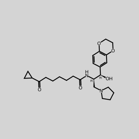 O=C(CCCCCC(=O)C1CC1)N[C@H](CN1CCCC1)[C@H](O)c1ccc2c(c1)OCCO2